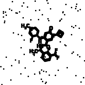 C[C@@H](NC(=O)c1cn(C23CC(C2)C3)c(=O)cc1N[C@@H]1CCN(C)C[C@@H]1F)c1cccc(C(F)F)c1F